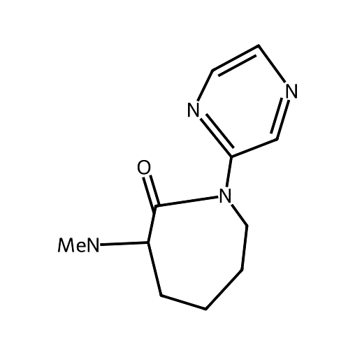 CNC1CCCCN(c2cnccn2)C1=O